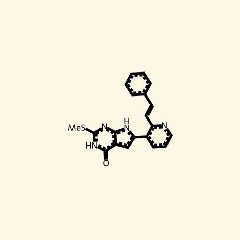 CSc1nc2[nH]c(-c3cccnc3C=Cc3ccccc3)cc2c(=O)[nH]1